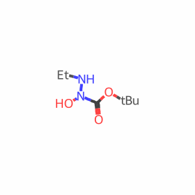 CCNN(O)C(=O)OC(C)(C)C